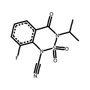 CC(C)N1C(=O)c2cccc(F)c2N(C#N)S1(=O)=O